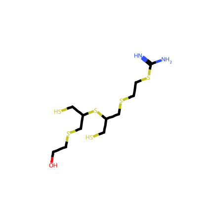 N=C(N)SCCSCC(CS)SC(CS)CSCCO